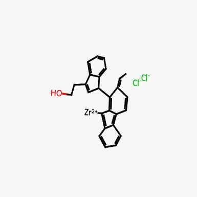 CC=c1ccc2c(c1C1C=C(CCO)c3ccccc31)[C]([Zr+2])=c1ccccc1=2.[Cl-].[Cl-]